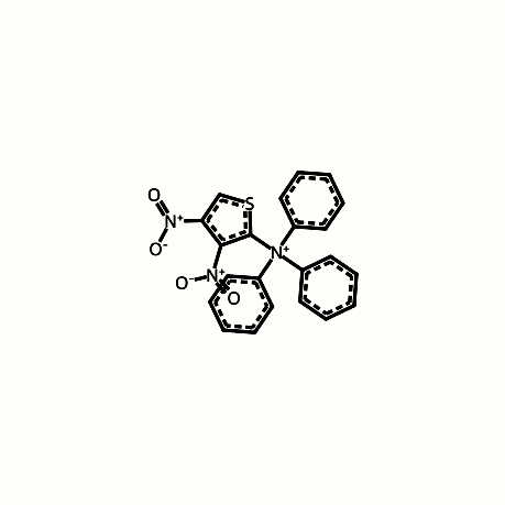 O=[N+]([O-])c1csc([N+](c2ccccc2)(c2ccccc2)c2ccccc2)c1[N+](=O)[O-]